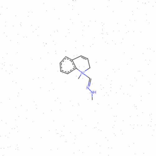 CN/N=C/[N+]1(C)CC=Cc2ccccc21